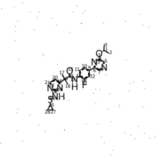 CC(C)Oc1cncc(-c2ccc(NC(=O)C(C)(C)c3ccnc(NSC4CC4)n3)c(F)c2)n1